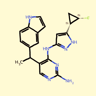 CC(c1ccc2[nH]ccc2c1)c1cnc(N)nc1Nc1cc([C@@H]2C[C@@H]2F)[nH]n1